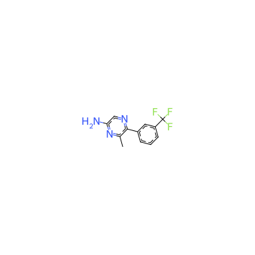 Cc1nc(N)cnc1-c1cccc(C(F)(F)F)c1